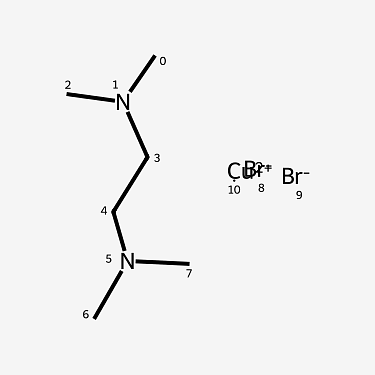 CN(C)CCN(C)C.[Br-].[Br-].[Cu+2]